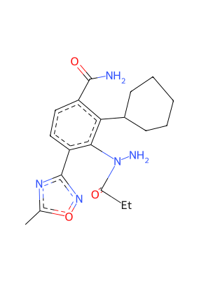 CCC(=O)N(N)c1c(-c2noc(C)n2)ccc(C(N)=O)c1C1CCCCC1